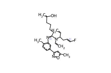 C=CC(C/C=C/F)N(C=C)/C(CCCCC(=C)O)=N\c1cc(-c2cc(C)on2)ccc1C